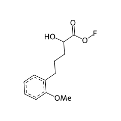 COc1ccccc1CCCC(O)C(=O)OF